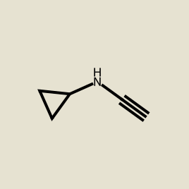 C#CNC1CC1